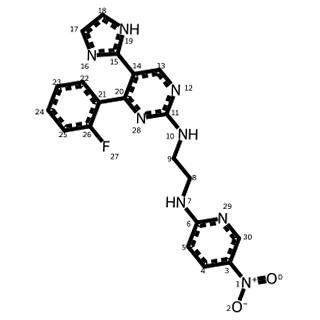 O=[N+]([O-])c1ccc(NCCNc2ncc(-c3ncc[nH]3)c(-c3ccccc3F)n2)nc1